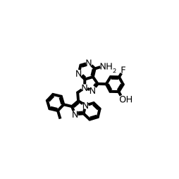 Cc1ccccc1-c1nc2ccccn2c1Cn1nc(-c2cc(O)cc(F)c2)c2c(N)ncnc21